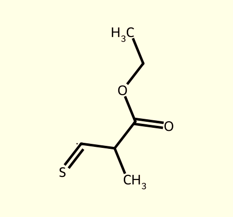 CCOC(=O)C(C)[C]=S